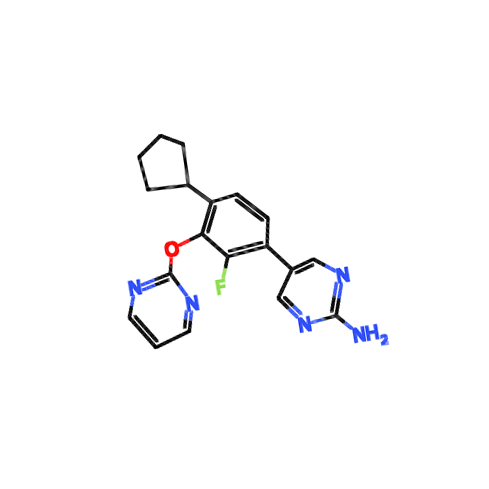 Nc1ncc(-c2ccc(C3CCCC3)c(Oc3ncccn3)c2F)cn1